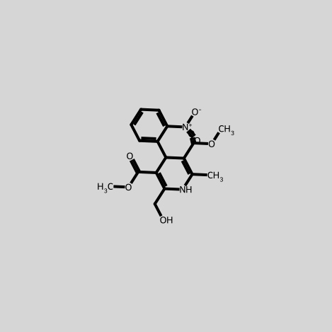 COC(=O)C1=C(C)NC(CO)=C(C(=O)OC)C1c1ccccc1[N+](=O)[O-]